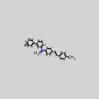 Cc1ccc(/C=C/c2ccc(N(C)c3cccc(-c4ccc5c(c4)C5)c3)cc2)cc1